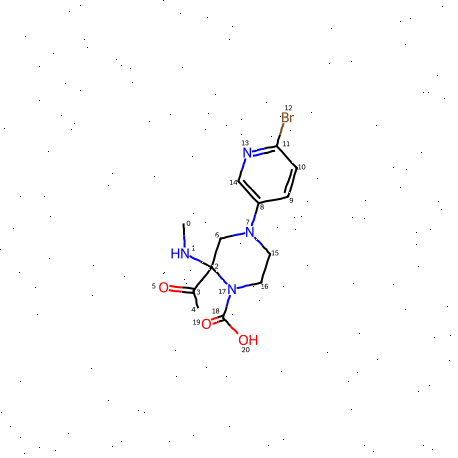 CNC1(C(C)=O)CN(c2ccc(Br)nc2)CCN1C(=O)O